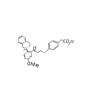 COc1ccc([C@@H]2CCc3c[c]ccc3C2)c(NCCCc2ccc(CC(=O)O)cc2)c1